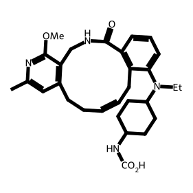 CCN(c1cccc2c1CC=CCCc1cc(C)nc(OC)c1CNC2=O)C1CCC(NC(=O)O)CC1